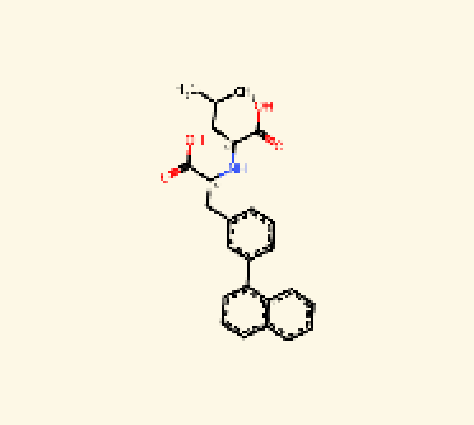 CC(C)C[C@H](N[C@@H](Cc1cccc(-c2cccc3ccccc23)c1)C(=O)O)C(=O)O